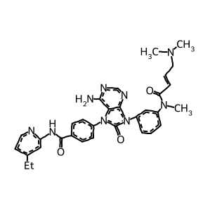 CCc1ccnc(NC(=O)c2ccc(-n3c(=O)n(-c4cccc(N(C)C(=O)C=CCN(C)C)c4)c4ncnc(N)c43)cc2)c1